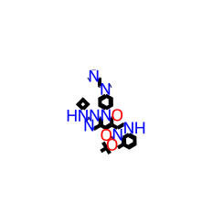 Cc1cccc2c1N(C(=O)OC(C)(C)C)C(c1cc3cnc(NC4CCC4)nc3n(-c3ccc(N(C)CCN(C)C)cc3)c1=O)CN2